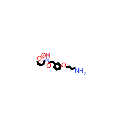 NCCCCOc1cccc(CC(=O)NC2CC=CCOB2O)c1